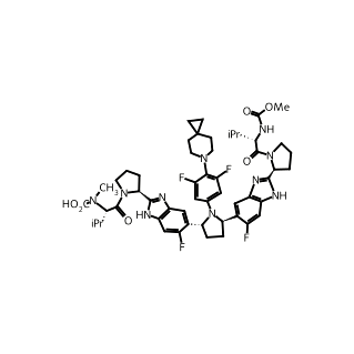 COC(=O)N[C@H](C(=O)N1CCC[C@H]1c1nc2cc([C@H]3CC[C@H](c4cc5nc([C@@H]6CCCN6C(=O)[C@H](C(C)C)N(C)C(=O)O)[nH]c5cc4F)N3c3cc(F)c(N4CCC5(CC4)CC5)c(F)c3)c(F)cc2[nH]1)C(C)C